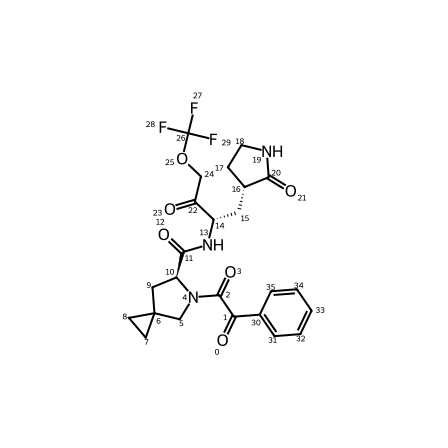 O=C(C(=O)N1CC2(CC2)C[C@H]1C(=O)N[C@@H](C[C@@H]1CCNC1=O)C(=O)COC(F)(F)F)c1ccccc1